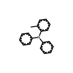 Cc1ccccc1N(c1ccccc1)c1ccccc1